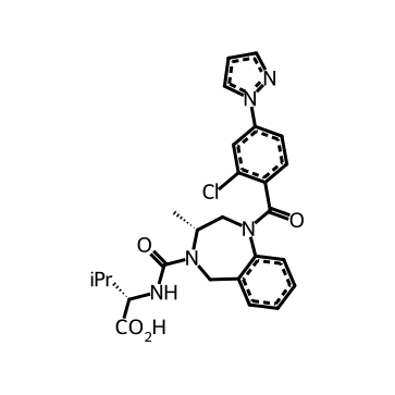 CC(C)[C@H](NC(=O)N1Cc2ccccc2N(C(=O)c2ccc(-n3cccn3)cc2Cl)C[C@H]1C)C(=O)O